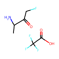 CC(N)C(=O)CF.O=C(O)C(F)(F)F